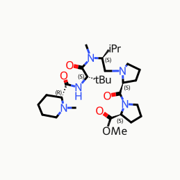 COC(=O)[C@@H]1CCCN1C(=O)[C@@H]1CCCN1C[C@H](C(C)C)N(C)C(=O)[C@@H](NC(=O)[C@H]1CCCCN1C)C(C)(C)C